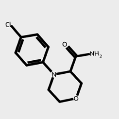 NC(=O)C1COCCN1c1ccc(Cl)cc1